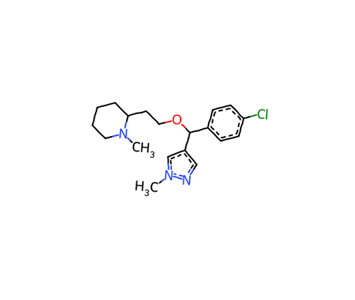 CN1CCCCC1CCOC(c1ccc(Cl)cc1)c1cnn(C)c1